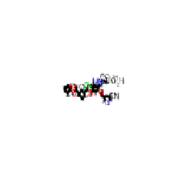 Cc1c(COc2cc(OCc3cncc(C#N)c3)c(CNC(CC(=O)O)C(=O)O)cc2Cl)cccc1C1COc2ccccc2O1